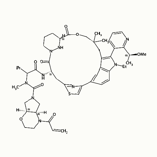 C=CC(=O)N1CCO[C@H]2CN(C(=O)N(C)C(C(=O)N[C@H]3Cc4nc(cs4)-c4ccc5c(c4)c(c(-c4cccnc4[C@H](C)OC)n5CC)CC(C)(C)COC(=O)[C@@H]4CCCN(N4)C3=O)C(C)C)C[C@H]21